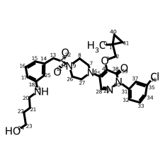 CC1(COc2c(N3CCN(S(=O)(=O)Cc4cccc(NCCCCO)c4)CC3)cnn(-c3cccc(Cl)c3)c2=O)CC1